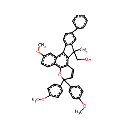 COc1ccc(C2(c3ccc(OC)cc3)C=Cc3c4c(c5cc(OC)ccc5c3O2)-c2ccc(-c3ccccc3)cc2C4(C)CO)cc1